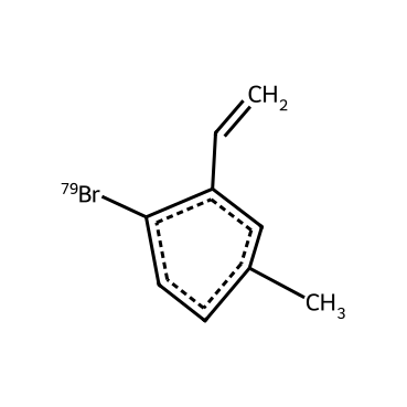 C=Cc1cc(C)ccc1[79Br]